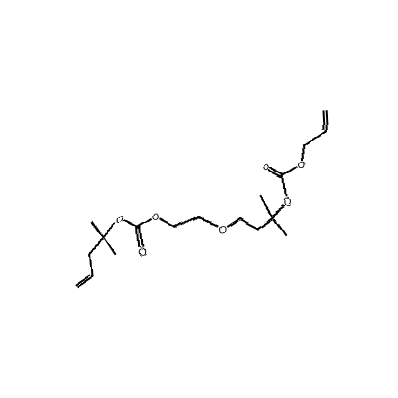 C=CCOC(=O)OC(C)(C)CCOCCOC(=O)OC(C)(C)CC=C